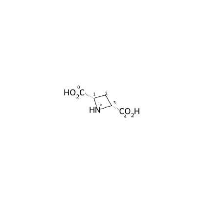 O=C(O)[C@@H]1C[C@H](C(=O)O)N1